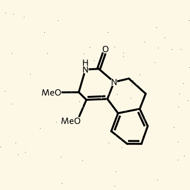 COC1=C2c3ccccc3CCN2C(=O)NC1OC